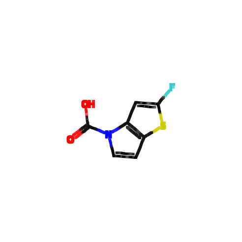 O=C(O)n1ccc2sc(F)cc21